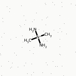 C[N+](C)(N)N